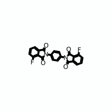 O=C1c2cccc(F)c2C(=O)N1c1ccc(N2C(=O)c3cccc(F)c3C2=O)cc1